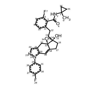 CC1(NC(=O)c2c(F)cccc2CC[C@]2(O)CCC3=Cc4c(cnn4-c4ccc(F)cc4)C[C@@]32C)CC1